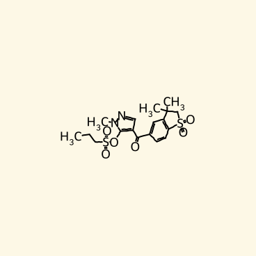 CCCS(=O)(=O)Oc1c(C(=O)c2ccc3c(c2)C(C)(C)CS3(=O)=O)cnn1C